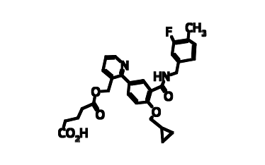 Cc1ccc(CNC(=O)c2cc(-c3ncccc3COC(=O)CCCC(=O)O)ccc2OCC2CC2)cc1F